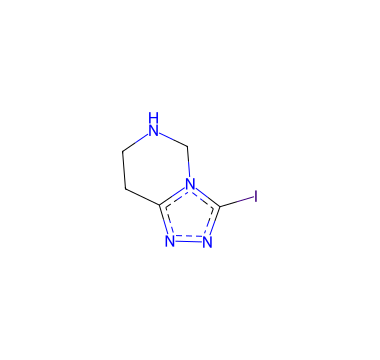 Ic1nnc2n1CNCC2